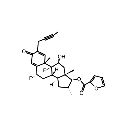 CC#CCC1=C[C@@]2(C)C(=CC1=O)[C@@H](F)C[C@H]1[C@@H]3C[C@@H](C)[C@H](OC(=O)c4ccco4)[C@@]3(C)C[C@H](O)[C@@]12F